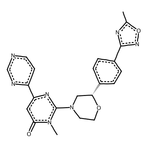 Cc1nc(-c2ccc([C@H]3CN(c4nc(-c5ccncn5)cc(=O)n4C)CCO3)cc2)no1